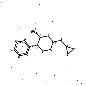 CC(C)[C@H]1CN(CC2CC2)CC[C@H]1c1ccccc1